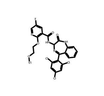 CCOCCOc1ncc(F)cc1C(=O)NC1N=C(c2c(Cl)cc(Cl)cc2Cl)c2ccccc2NC1=O